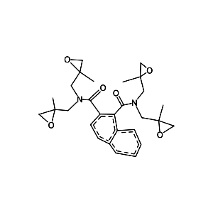 CC1(CN(CC2(C)CO2)C(=O)c2ccc3ccccc3c2C(=O)N(CC2(C)CO2)CC2(C)CO2)CO1